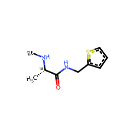 CCN[C@@H](C)C(=O)NCc1cccs1